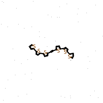 C(#Cc1ccc(-c2ccc(-c3cccs3)s2)s1)c1ccc(-c2ccc(-c3cccs3)s2)s1